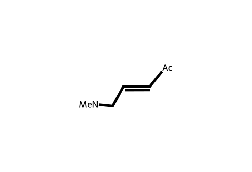 CNC/C=C/C(C)=O